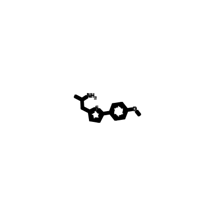 COc1ccc(-c2ccc(CC(C)N)s2)cc1